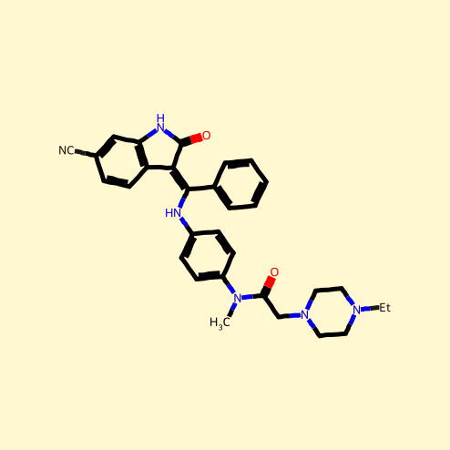 CCN1CCN(CC(=O)N(C)c2ccc(NC(=C3C(=O)Nc4cc(C#N)ccc43)c3ccccc3)cc2)CC1